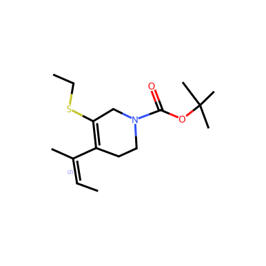 C/C=C(/C)C1=C(SCC)CN(C(=O)OC(C)(C)C)CC1